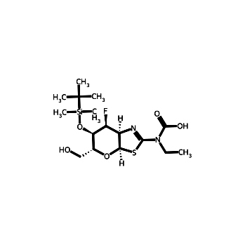 CCN(C(=O)O)C1=N[C@@H]2[C@H](F)[C@H](O[Si](C)(C)C(C)(C)C)[C@@H](CO)O[C@@H]2S1